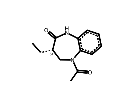 CC[C@H]1CN(C(C)=O)c2ccccc2NC1=O